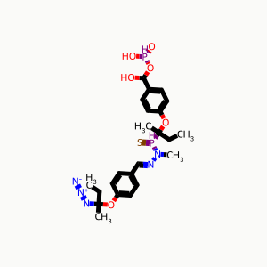 CCC(C)(N=[N+]=[N-])Oc1ccc(/C=N/N(C)[PH](=S)C(C)(CC)Oc2ccc(C(O)O[PH](=O)O)cc2)cc1